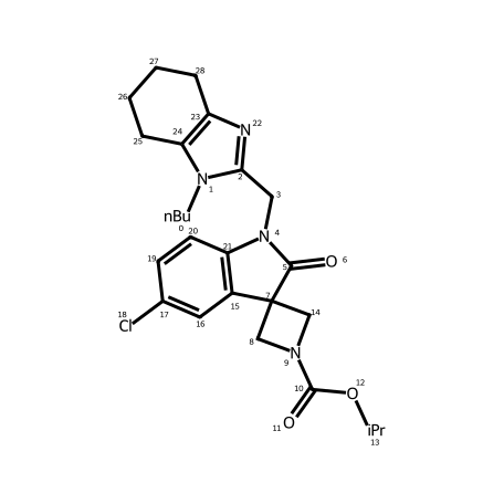 CCCCn1c(CN2C(=O)C3(CN(C(=O)OC(C)C)C3)c3cc(Cl)ccc32)nc2c1CCCC2